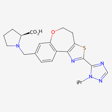 CC(C)n1ncnc1-c1nc2c(s1)CCOc1cc(CN3CCC[C@H]3C(=O)O)ccc1-2